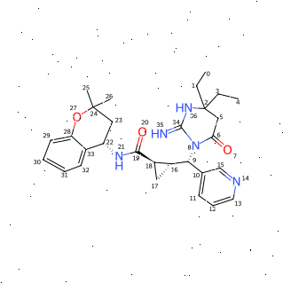 CCC1(CC)CC(=O)N([C@H](c2cccnc2)[C@@H]2C[C@H]2C(=O)N[C@H]2CC(C)(C)Oc3ccccc32)C(=N)N1